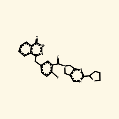 O=C(c1cc(Cc2n[nH]c(=O)c3ccccc23)ccc1F)N1Cc2cnc(C3CCCO3)nc2C1